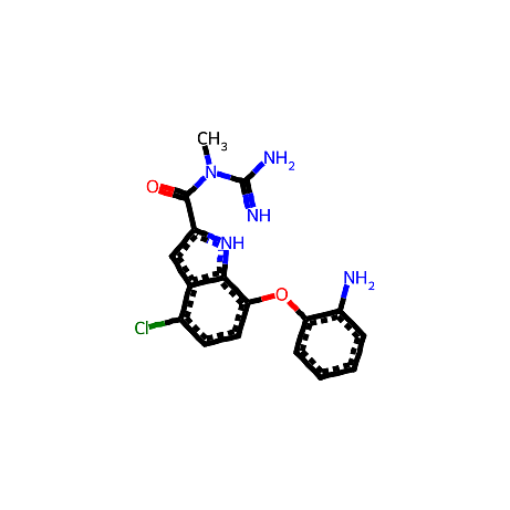 CN(C(=N)N)C(=O)c1cc2c(Cl)ccc(Oc3ccccc3N)c2[nH]1